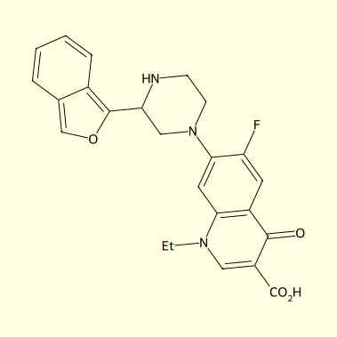 CCn1cc(C(=O)O)c(=O)c2cc(F)c(N3CCNC(c4occ5ccccc45)C3)cc21